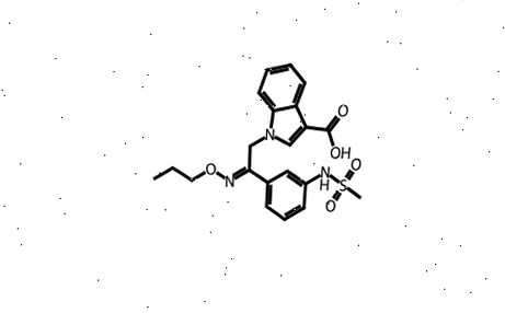 CCCO/N=C(\Cn1cc(C(=O)O)c2ccccc21)c1cccc(NS(C)(=O)=O)c1